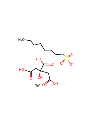 CCCCCCCCS(=O)(=O)[O-].O=C(O)CC(O)(CC(=O)O)C(=O)O.[Na+]